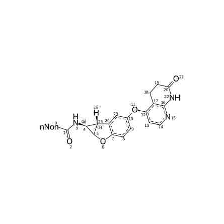 CCCCCCCCCC(=O)N[C@@H]1C2Oc3ccc(Oc4ccnc5c4CCC(=O)N5)cc3[C@H]21